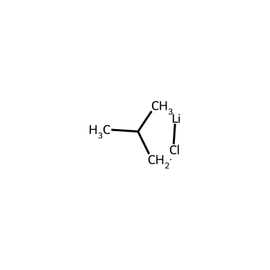 [CH2]C(C)C.[Li][Cl]